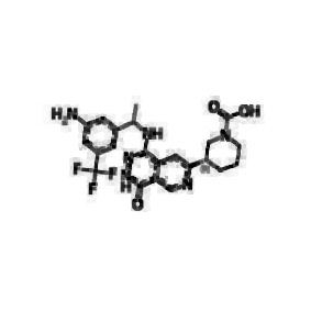 CC(Nc1n[nH]c(=O)c2cnc([C@@H]3CCCN(C(=O)O)C3)cc12)c1cc(N)cc(C(F)(F)F)c1